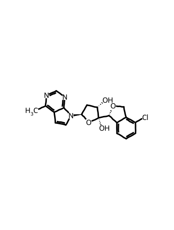 Cc1ncnc2c1ccn2[C@H]1C[C@H](O)[C@@](O)([C@@H]2OCc3c(Cl)cccc32)O1